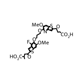 COc1cc2sc(C(=O)CCC(=O)O)cc2nc1OCCCOc1c(OC)cc2sc(C(=O)CC(C)C(=O)O)cc2c1F